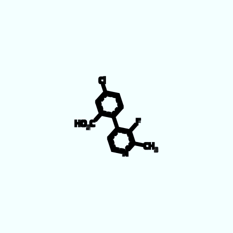 Cc1nccc(-c2ccc(Cl)cc2C(=O)O)c1F